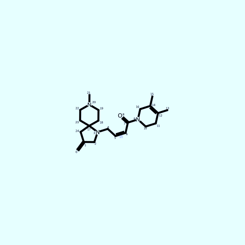 C=C1CN(C/C=C\C(=O)N2CCC(C)=C(C)C2)C2(CCN(C)CC2)C1